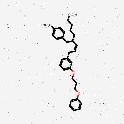 O=C(O)CCCCC(/C=C\Cc1cccc(OCCCOc2ccccc2)c1)Cc1ccc(C(=O)O)cc1